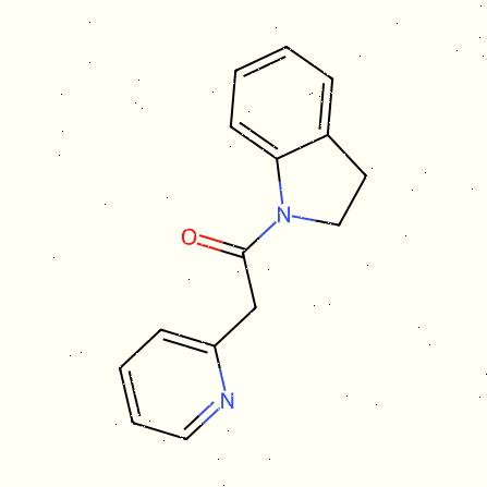 O=C(Cc1ccccn1)N1CCc2ccccc21